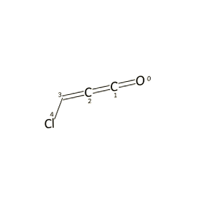 O=C=C=CCl